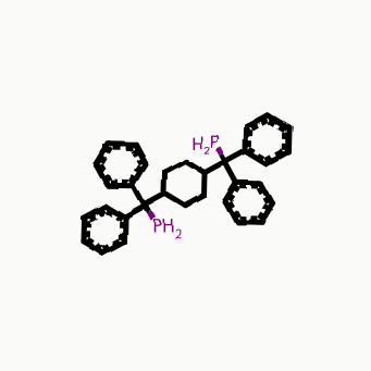 PC(c1ccccc1)(c1ccccc1)C1CCC(C(P)(c2ccccc2)c2ccccc2)CC1